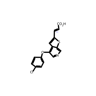 O=C(O)/C=C/c1cc2c(Oc3ccc(Cl)cc3)cncc2s1